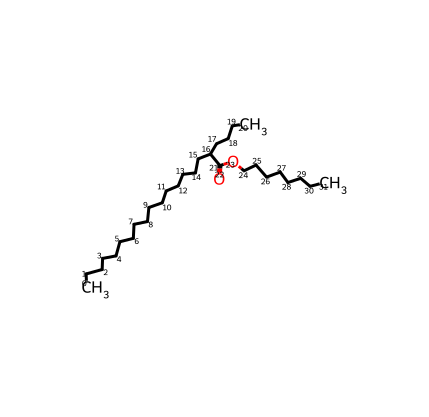 CCCCCCCCCCCCCCCCC(CCCC)C(=O)OCCCCCCCC